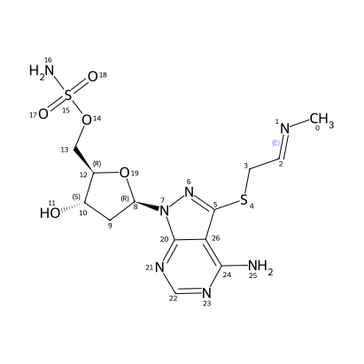 C/N=C/CSc1nn([C@H]2C[C@H](O)[C@@H](COS(N)(=O)=O)O2)c2ncnc(N)c12